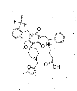 Cc1ccc(CN2CCC3(CC2)OCc2c3c(=O)n(CC(NCCCC(=O)O)c3ccccc3)c(=O)n2Cc2c(F)cccc2C(F)(F)F)o1